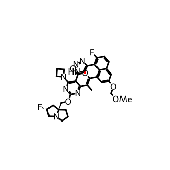 COCOc1cc(-c2oc(=O)c3c(N4CCC4)nc(OC[C@@]45CCCN4C[C@H](F)C5)nc3c2C)c2c(-c3c[nH]nn3)c(F)ccc2c1